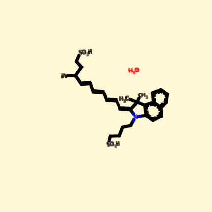 CC(C)C([CH]CS(=O)(=O)O)C=CC=CC=CC=C1N(CCCCS(=O)(=O)O)c2ccc3ccccc3c2C1(C)C.O